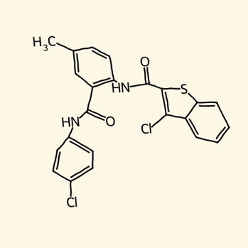 Cc1ccc(NC(=O)c2sc3ccccc3c2Cl)c(C(=O)Nc2ccc(Cl)cc2)c1